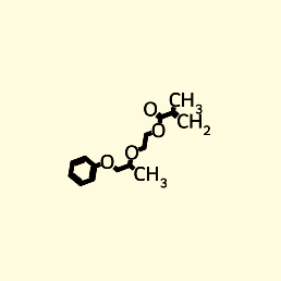 C=C(C)C(=O)OCCOC(C)COc1ccccc1